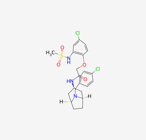 CS(=O)(=O)Nc1cc(Cl)ccc1OCC(=O)N[C@H]1C[C@H]2CC[C@@H](C1)N2Cc1ccc(Cl)cc1